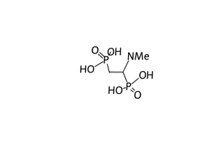 CNC(CP(=O)(O)O)P(=O)(O)O